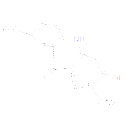 COc1cc(C(=O)c2cccc(C(=O)O)c2)c(N)cc1O